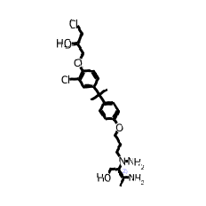 C/C(N)=C(\CO)N(N)CCCOc1ccc(C(C)(C)c2ccc(OCC(O)CCl)c(Cl)c2)cc1